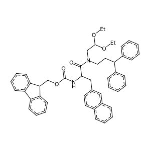 CCOC(CN(CCC(c1ccccc1)c1ccccc1)C(=O)C(Cc1ccc2ccccc2c1)NC(=O)OCC1c2ccccc2-c2ccccc21)OCC